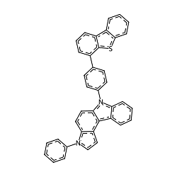 c1ccc(-n2ccc3c4c5ccccc5n(-c5ccc(-c6cccc7c6sc6ccccc67)cc5)c4ccc32)cc1